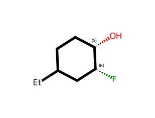 CCC1CC[C@H](O)[C@H](F)C1